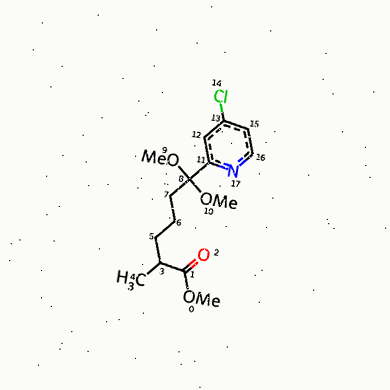 COC(=O)C(C)CCCC(OC)(OC)c1cc(Cl)ccn1